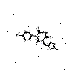 Cc1ccc(/C=C2\C(=O)NC(=O)N(c3ccc(Br)cc3)C2=O)s1